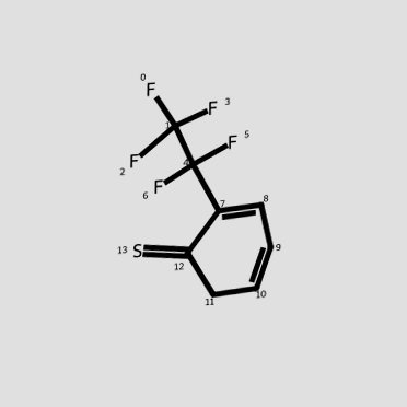 FC(F)(F)C(F)(F)C1=CC=CCC1=S